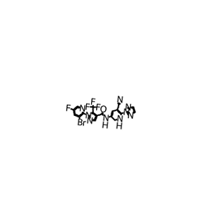 N#CC1=C(n2nccn2)NCC(NC(=O)c2cnn(-c3ncc(F)cc3Br)c2C(F)(F)F)=C1